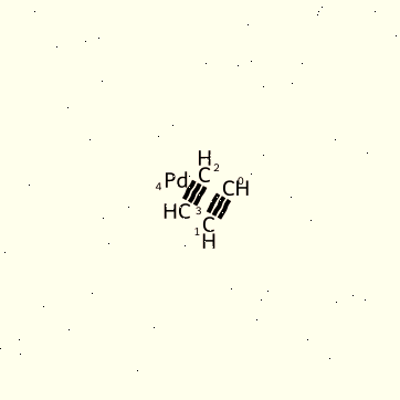 C#C.C#C.[Pd]